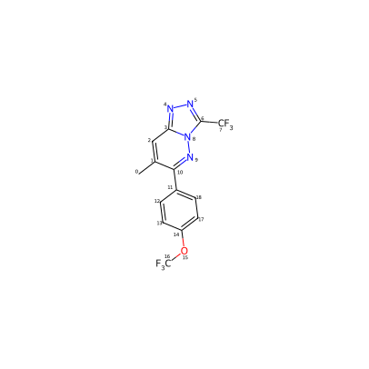 Cc1cc2nnc(C(F)(F)F)n2nc1-c1ccc(OC(F)(F)F)cc1